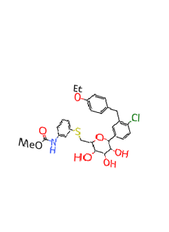 CCOc1ccc(Cc2cc(C3OC(CSc4cccc(NC(=O)OC)c4)C(O)C(O)C3O)ccc2Cl)cc1